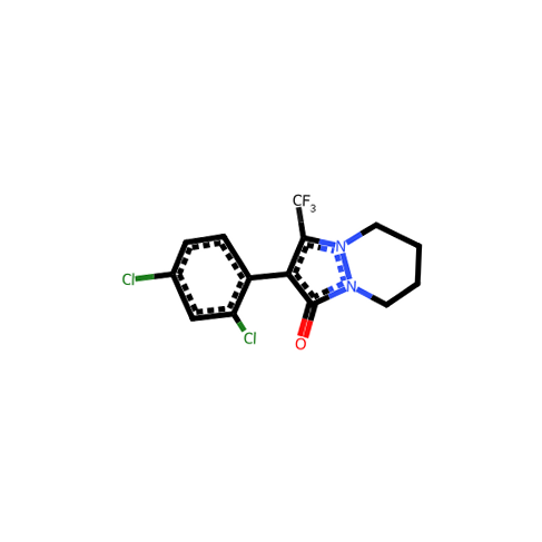 O=c1c(-c2ccc(Cl)cc2Cl)c(C(F)(F)F)n2n1CCCC2